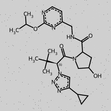 CC(C)Oc1nccc(CNC(=O)C2CC(O)CN2C(=O)[C@@H](n2cc(C3CC3)nn2)C(C)(C)C)n1